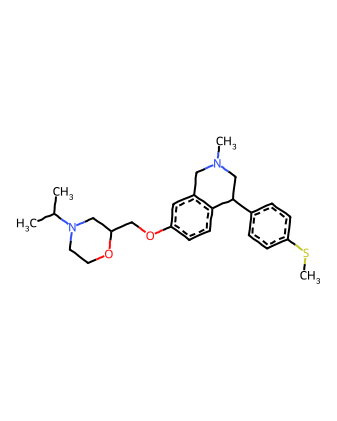 CSc1ccc(C2CN(C)Cc3cc(OCC4CN(C(C)C)CCO4)ccc32)cc1